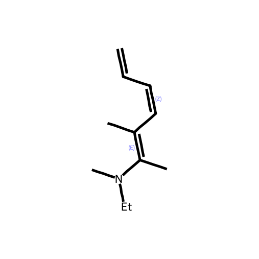 C=C/C=C\C(C)=C(/C)N(C)CC